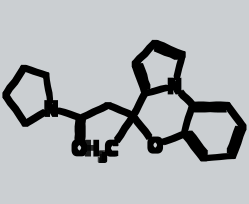 CC1(CC(=O)N2CCCC2)Oc2ccccc2-n2cccc21